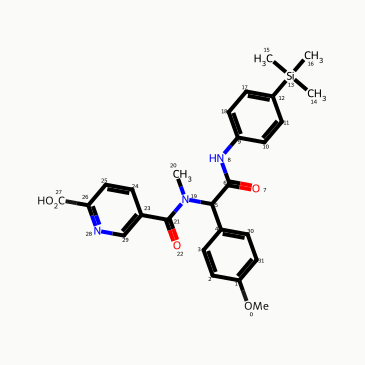 COc1ccc(C(C(=O)Nc2ccc([Si](C)(C)C)cc2)N(C)C(=O)c2ccc(C(=O)O)nc2)cc1